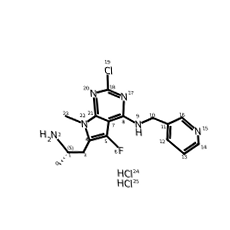 C[C@H](N)Cc1c(F)c2c(NCc3cccnc3)nc(Cl)nc2n1C.Cl.Cl